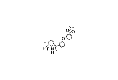 CC1=C(c2cccc(Oc3cccc(S(=O)(=O)C(C)C)c3)c2)N2C=CC=C(C(F)(F)F)C2N1